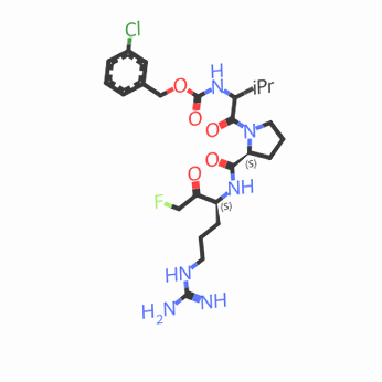 CC(C)C(NC(=O)OCc1cccc(Cl)c1)C(=O)N1CCC[C@H]1C(=O)N[C@@H](CCCNC(=N)N)C(=O)CF